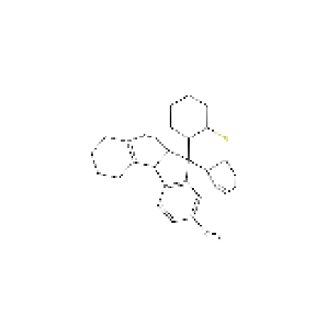 Cc1ccc2c(c1)C1(C3C=CCCC3SC3CCC=CC31)C1CCC3=C(CCCC3)C21